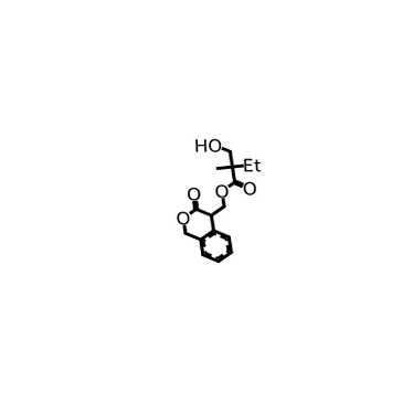 CCC(C)(CO)C(=O)OCC1C(=O)OCc2ccccc21